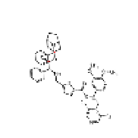 COc1ccc([C@H](Cc2c(Cl)cncc2Cl)OC(=O)c2ccc(CNC(C(=O)OC3CC4CCC(C3)N4Cc3ccccc3)c3ccccc3)s2)cc1OC